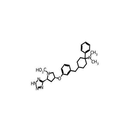 CN(C)C1(c2ccccc2)CCC(Cc2cccc(O[C@H]3C[C@@H](c4nn[nH]n4)N(C(=O)O)C3)c2)CC1